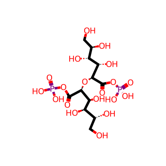 O=C(OP(=O)(O)O)[C@H](O[C@@H](C(=O)OP(=O)(O)O)[C@@H](O)[C@H](O)[C@H](O)CO)[C@@H](O)[C@H](O)[C@H](O)CO